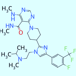 CNC(=O)c1c(NC)ncnc1N1CCC(c2nc(-c3ccc(F)c(C(F)(F)F)c3)cn2CCN(C)C(C)C)CC1